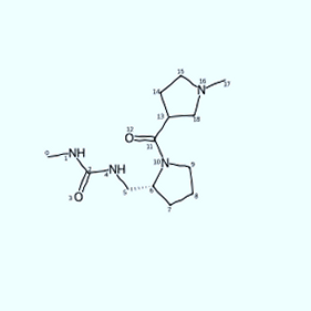 CNC(=O)NC[C@H]1CCCN1C(=O)C1CCN(C)C1